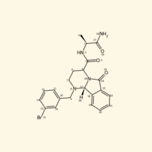 C[C@H](NC(=O)C1CCN(Cc2cccc(Br)c2)[C@H]2c3ccccc3C(=O)N12)C(N)=O